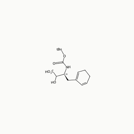 CC(C)(C)OC(=O)N[C@@H](CC1=CCCC=C1)C(O)C(=O)O